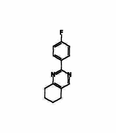 Fc1ccc(-c2ncc3c(n2)CCCC3)cc1